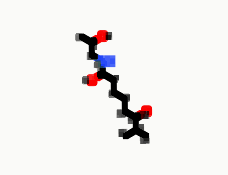 CC(=O)CNC(=O)CCCCC(=O)C(C)C